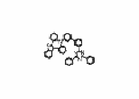 c1ccc(-c2nc(-c3ccccc3)nc(-c3cccc(-c4cccc(N5c6ccccc6-c6sc7ccccc7c6-c6ccccc65)c4)c3)n2)cc1